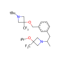 CC(C)OC1(C(F)(F)F)CN(C(C)Cc2cccc(COC3(C(F)(F)F)CN(C(C)(C)C)C3)c2)C1